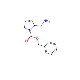 NCC1C=CCN1C(=O)OCc1ccccc1